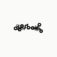 C=C(/C=C\C=C/Nc1ccccc1C1=C2C(=CCC1)C1C=CCCC1S2(=O)=O)C1=CC=CC(c2ccc(/C(N)=N/C(NCC3=CC=CCC3)C3=CCCCC3)cc2)C1